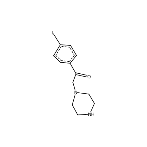 O=C(CN1CCNCC1)c1ccc(I)cc1